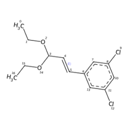 CCOC(/C=C/c1cc(Cl)cc(Cl)c1)OCC